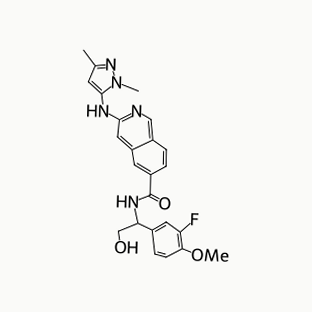 COc1ccc(C(CO)NC(=O)c2ccc3cnc(Nc4cc(C)nn4C)cc3c2)cc1F